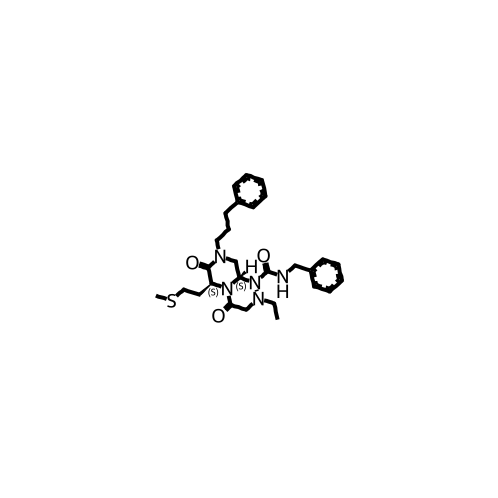 CCN1CC(=O)N2[C@@H](CCSC)C(=O)N(CCCc3ccccc3)C[C@@H]2N1C(=O)NCc1ccccc1